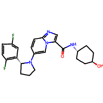 O=C(N[C@H]1CC[C@H](O)CC1)c1cnc2ccc(N3CCC[C@@H]3c3cc(F)ccc3F)cn12